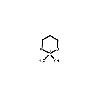 C[PH]1(C)NCCCO1